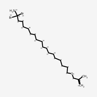 C=C(C)COCCCCCCCCCCCCCCCCCC([SiH3])(Br)Br